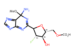 COC1(N)N=C(C2O[C@H](COC(=O)O)[C@@H](O)[C@@H]2F)N=C2N=CN=C21